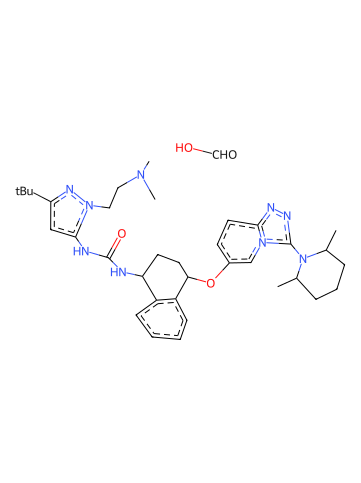 CC1CCCC(C)N1c1nnc2ccc(OC3CCC(NC(=O)Nc4cc(C(C)(C)C)nn4CCN(C)C)c4ccccc43)cn12.O=CO